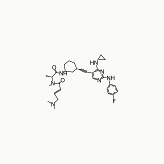 C[C@@H](C(=O)N[C@H]1CCC[C@@H](C#Cc2cnc(Nc3ccc(F)cc3)nc2NC2CC2)C1)N(C)C(=O)/C=C/CN(C)C